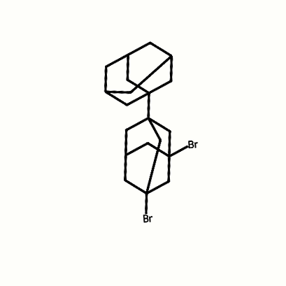 BrC12CC3CC(Br)(C1)CC(C14CC5CC(CC(C5)C1)C4)(C3)C2